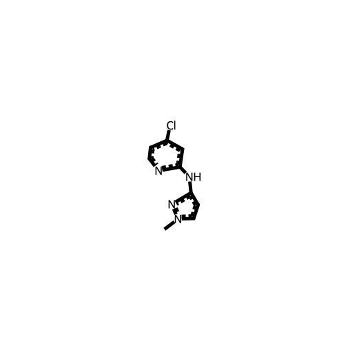 Cn1ccc(Nc2cc(Cl)ccn2)n1